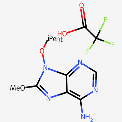 CCCC(C)On1c(OC)nc2c(N)ncnc21.O=C(O)C(F)(F)F